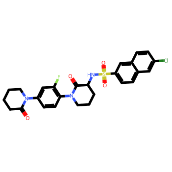 O=C1CCCCN1c1ccc(N2CCCC(NS(=O)(=O)c3ccc4cc(Cl)ccc4c3)C2=O)c(F)c1